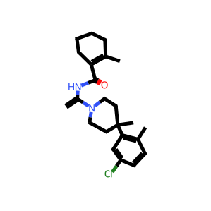 C=C(NC(=O)C1=C(C)CCCC1)N1CCC(C)(c2cc(Cl)ccc2C)CC1